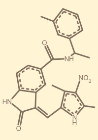 Cc1cccc(C(C)NC(=O)c2ccc3c(c2)C(=Cc2[nH]c(C)c([N+](=O)[O-])c2C)C(=O)N3)c1